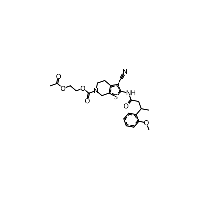 COc1ccccc1C(C)CC(=O)Nc1sc2c(c1C#N)CCN(C(=O)OCCOC(C)=O)C2